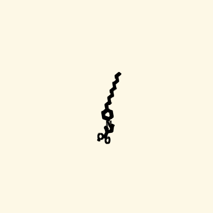 CCCCCCCCCCc1ccc(-n2ccc(C(=O)OC)c2)cc1